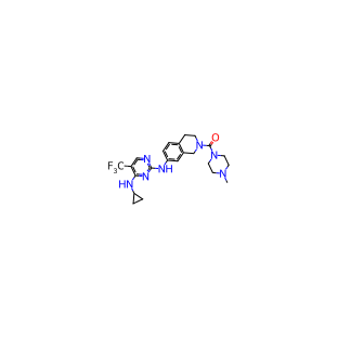 CN1CCN(C(=O)N2CCc3ccc(Nc4ncc(C(F)(F)F)c(NC5CC5)n4)cc3C2)CC1